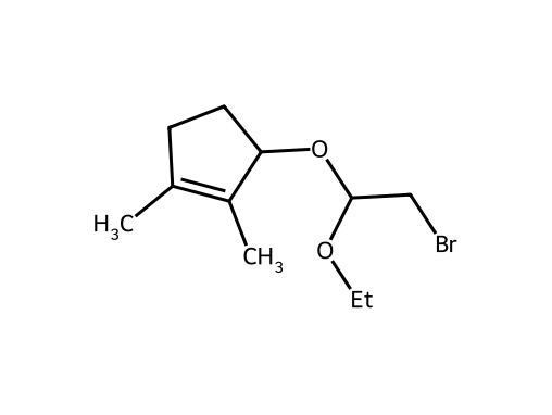 CCOC(CBr)OC1CCC(C)=C1C